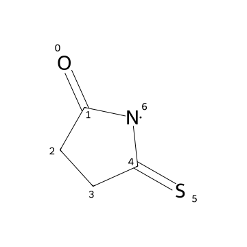 O=C1CCC(=S)[N]1